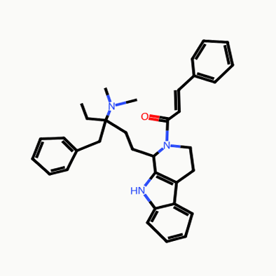 CCC(CCC1c2[nH]c3ccccc3c2CCN1C(=O)/C=C/c1ccccc1)(Cc1ccccc1)N(C)C